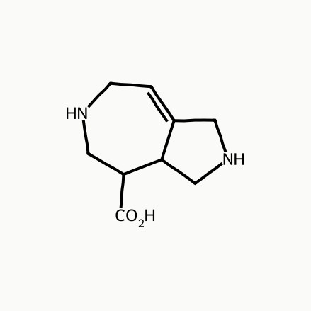 O=C(O)C1CNCC=C2CNCC21